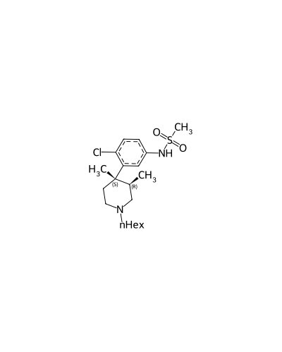 CCCCCCN1CC[C@](C)(c2cc(NS(C)(=O)=O)ccc2Cl)[C@@H](C)C1